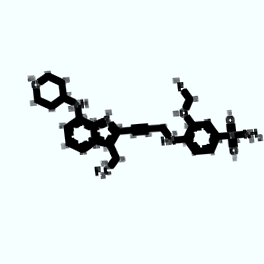 NS(=O)(=O)c1ccc(NCC#Cc2sc3c(NC4CCOCC4)cccc3c2CC(F)(F)F)c(OCF)c1